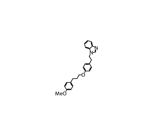 COc1ccc(CCCOc2ccc(CCn3cnc4ccccc43)cc2)cc1